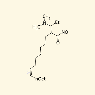 CCCCCCCC/C=C\CCCCCCC(C(=O)N=O)C(CC)N(C)C